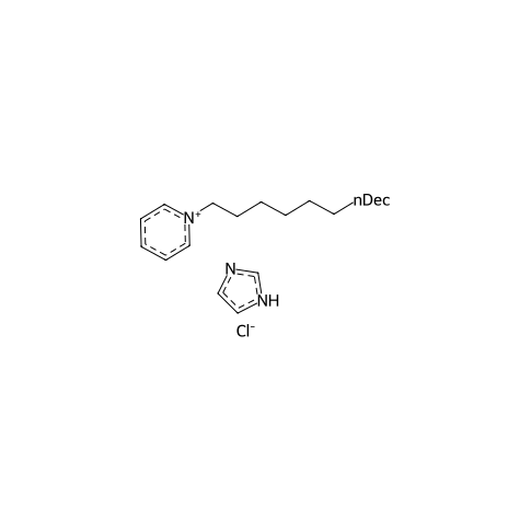 CCCCCCCCCCCCCCCC[n+]1ccccc1.[Cl-].c1c[nH]cn1